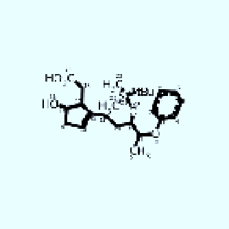 CC(Oc1ccccc1)C(CCC1=CCC(O)C1CC(=O)O)O[Si](C)(C)C(C)(C)C